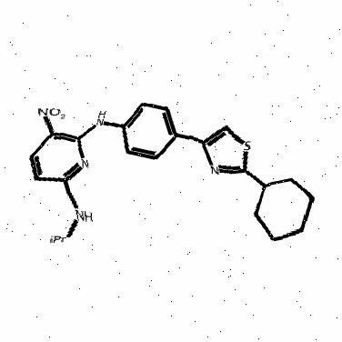 CC(C)Nc1ccc([N+](=O)[O-])c(Nc2ccc(-c3csc(C4CCCCC4)n3)cc2)n1